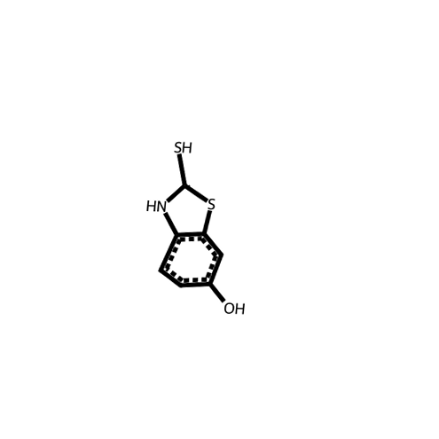 Oc1ccc2c(c1)S[C](S)N2